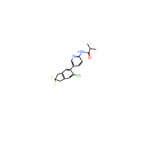 CC(C)C(=O)Nc1ccc(-c2cc3c(cc2Cl)CC(F)(F)C3)cn1